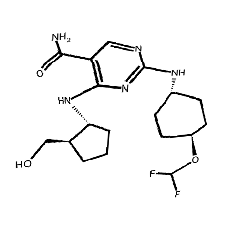 NC(=O)c1cnc(N[C@H]2CC[C@H](OC(F)F)CC2)nc1N[C@@H]1CCC[C@H]1CO